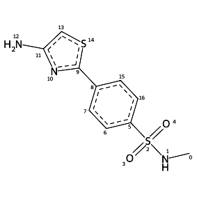 CNS(=O)(=O)c1ccc(-c2nc(N)cs2)cc1